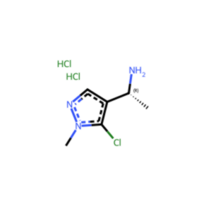 C[C@@H](N)c1cnn(C)c1Cl.Cl.Cl